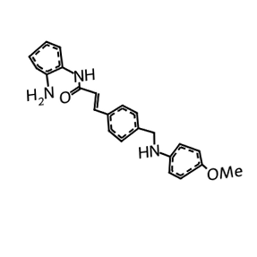 COc1ccc(NCc2ccc(C=CC(=O)Nc3ccccc3N)cc2)cc1